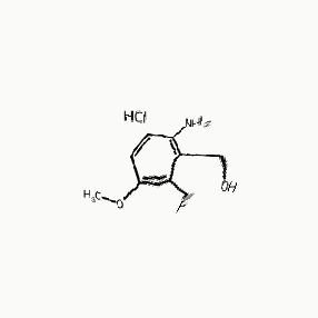 COc1ccc(N)c(CO)c1F.Cl